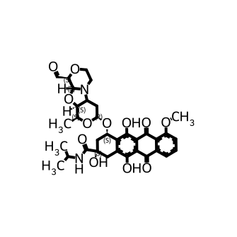 COc1cccc2c1C(=O)c1c(O)c3c(c(O)c1C2=O)C[C@@](O)(C(=O)NC(C)C)C[C@@H]3O[C@H]1CC2[C@H](O[C@@H]3[C@@H](C=O)OCCN23)[C@H](C)O1